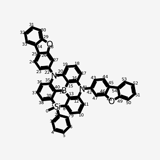 C[Si]1(c2ccccc2)c2cccc3c2B2c4c(cccc4N(c4ccc5c(c4)oc4ccccc45)c4cccc1c42)N3c1ccc2c(c1)oc1ccccc12